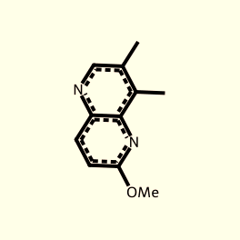 COc1ccc2ncc(C)c(C)c2n1